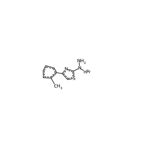 CCCN(N)c1nc(-c2ccccc2C)cs1